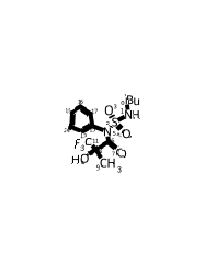 CCC(C)NS(=O)(=O)N(C(=O)C(C)(O)C(F)(F)F)c1ccccc1